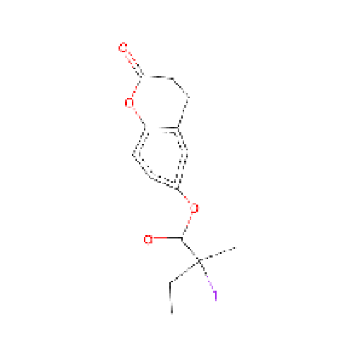 CCC(C)(I)C(=O)Oc1ccc2c(c1)CCC(=O)O2